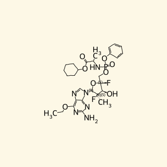 CCOc1nc(N)nc2c1ncn2[C@@H]1O[C@](F)(COP(=O)(NC(C)C(=O)OC2CCCCC2)Oc2ccccc2)[C@@H](O)[C@@]1(C)F